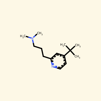 CN(C)CCCc1cc(C(C)(C)C)ccn1